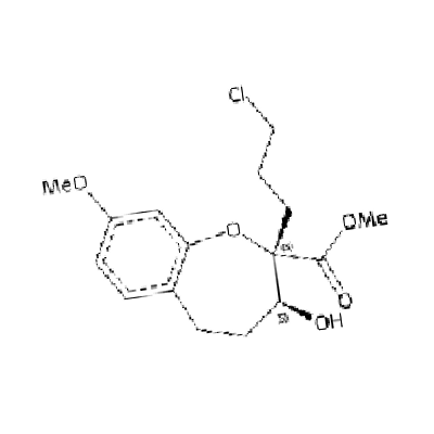 COC(=O)[C@@]1(CCCCl)Oc2cc(OC)ccc2CC[C@@H]1O